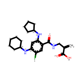 C=C(CNC(=O)c1cc(F)c(NC2CCCCC2)cc1NC1CCCC1)C(=O)O